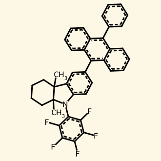 CC12CCCCC1(C)N(c1c(F)c(F)c(F)c(F)c1F)c1ccc(-c3c4ccccc4c(-c4ccccc4)c4ccccc34)cc12